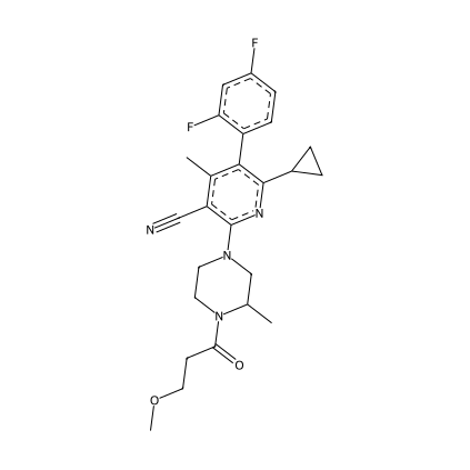 COCCC(=O)N1CCN(c2nc(C3CC3)c(-c3ccc(F)cc3F)c(C)c2C#N)CC1C